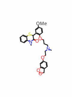 COc1ccc(OCCCN(C)CCOc2ccc3c(c2)OOC3)c(C2Sc3ccccc3N(C)C2=O)c1